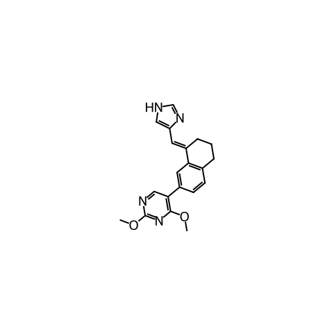 COc1ncc(-c2ccc3c(c2)/C(=C/c2c[nH]cn2)CCC3)c(OC)n1